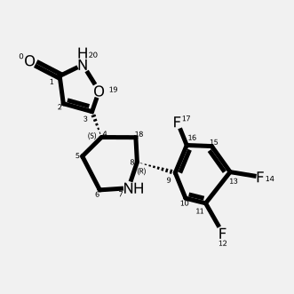 O=c1cc([C@H]2CCN[C@@H](c3cc(F)c(F)cc3F)C2)o[nH]1